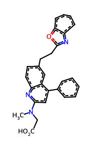 CN(CC(=O)O)c1cc(-c2ccccc2)c2cc(CCc3nc4ccccc4o3)ccc2n1